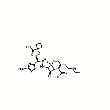 CCNCCC1=C(C(=O)O)N2C(=O)C(NC(=O)/C(=N\OC3(C(=O)O)CCC3)c3csc(N)n3)[C@@H]2SC1